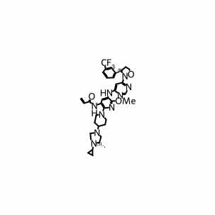 C=CC(=O)Nc1cc(Nc2cc(N3OCC[C@@H]3c3cccc(C(F)(F)F)c3)ncn2)c(OC)nc1N1CCC(N2CCN(C3CC3)[C@@H](C)C2)CC1